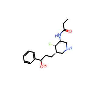 CCC(=O)N[C@H]1CNC[C@@H](CCC(O)c2ccccc2)[C@@H]1F